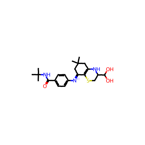 CC1(C)CC2=C(SCC(C(O)O)N2)/C(=N/c2ccc(C(=O)NC(C)(C)C)cc2)C1